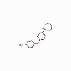 CC1(c2ccc(Oc3ccc(N)cc3)cc2)CCCCC1